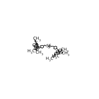 CCCSSSSC(CC1CCC(CCSSSCCC2CCC(CC(SSSSCCC)[Si](OCC)(OCC)OCC)CC2)CC1)[Si](OCC)(OCC)OCC